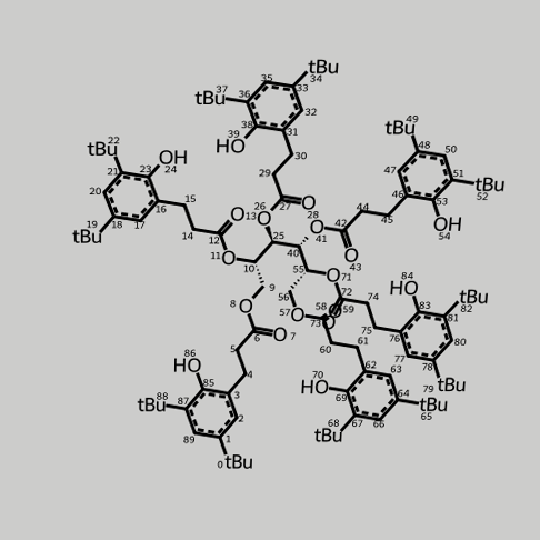 CC(C)(C)c1cc(CCC(=O)OC[C@H](OC(=O)CCc2cc(C(C)(C)C)cc(C(C)(C)C)c2O)[C@@H](OC(=O)CCc2cc(C(C)(C)C)cc(C(C)(C)C)c2O)[C@H](OC(=O)CCc2cc(C(C)(C)C)cc(C(C)(C)C)c2O)[C@@H](COC(=O)CCc2cc(C(C)(C)C)cc(C(C)(C)C)c2O)OC(=O)CCc2cc(C(C)(C)C)cc(C(C)(C)C)c2O)c(O)c(C(C)(C)C)c1